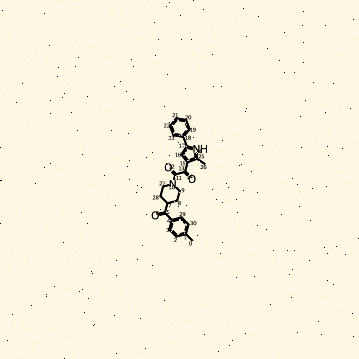 Cc1ccc(C(=O)C2CCN(C(=O)C(=O)c3cc(-c4ccccc4)[nH]c3C)CC2)cc1